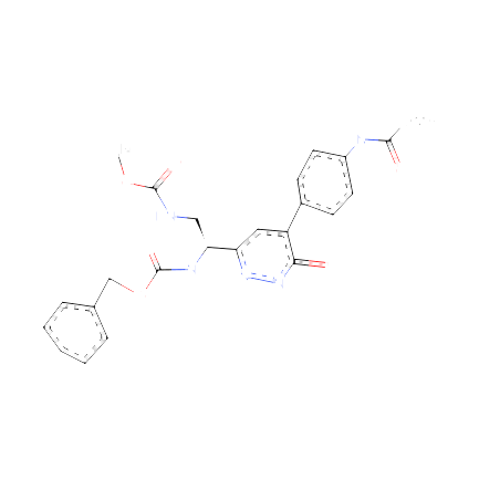 COC(=O)Nc1ccc(-c2cc([C@H](CNC(=O)OC(C)(C)C)NC(=O)OCc3ccccc3)n[nH]c2=O)cc1